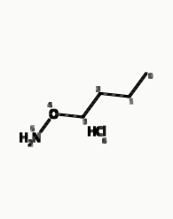 CCCCON.Cl